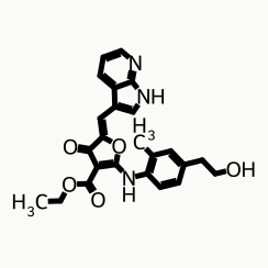 CCOC(=O)C1=C(Nc2ccc(CCO)cc2C)OC(=Cc2c[nH]c3ncccc23)C1=O